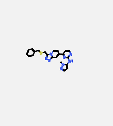 Cn1nccc1Nc1nccc(-c2ccn3c(CSCc4ccccc4)nnc3c2)n1